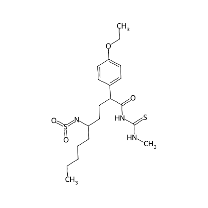 CCCCCC(CCC(C(=O)NC(=S)NC)c1ccc(OCC)cc1)N=S(=O)=O